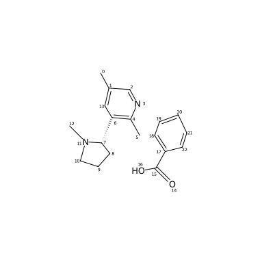 Cc1cnc(C)c([C@@H]2CCCN2C)c1.O=C(O)c1ccccc1